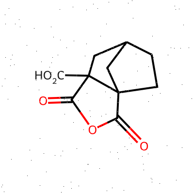 O=C1OC(=O)C2(C(=O)O)CC3CCC12C3